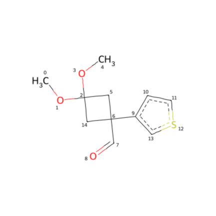 COC1(OC)CC(C=O)(c2ccsc2)C1